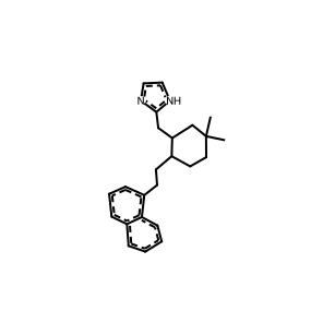 CC1(C)CCC(CCc2cccc3ccccc23)C(Cc2ncc[nH]2)C1